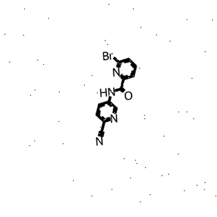 N#Cc1ccc(NC(=O)c2cccc(Br)n2)cn1